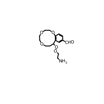 NCCOOC1CCOCCOCCOc2ccc(C=O)cc21